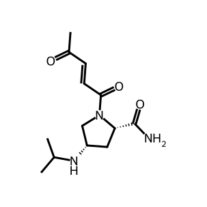 CC(=O)/C=C/C(=O)N1C[C@@H](NC(C)C)C[C@H]1C(N)=O